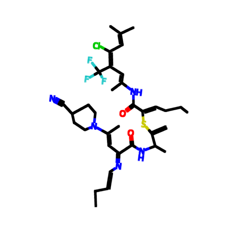 C=C(S/C(=C\CCC)C(=O)N/C(C)=C/C(=C(/Cl)C=C(C)C)C(F)(F)F)C(C)NC(=O)C(/C=C(\C)N1CCC(C#N)CC1)=N/C=C/CC